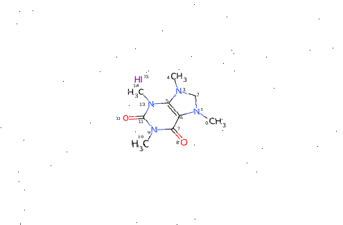 CN1CN(C)c2c1c(=O)n(C)c(=O)n2C.I